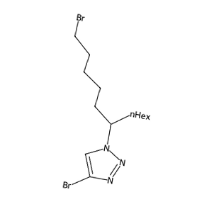 CCCCCCC(CCCCCBr)n1cc(Br)nn1